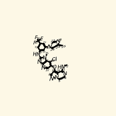 CNc1nccn2ncc(Oc3cnc4nc(Nc5cc(-n6cnc(C)c6)cc(C(F)(F)F)c5)n(C)c4c3Cl)c12